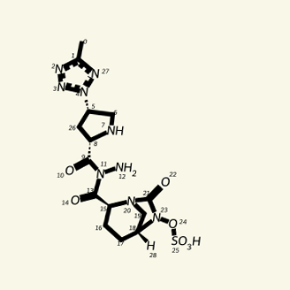 Cc1nnn([C@@H]2CN[C@H](C(=O)N(N)C(=O)[C@@H]3CC[C@@H]4CN3C(=O)N4OS(=O)(=O)O)C2)n1